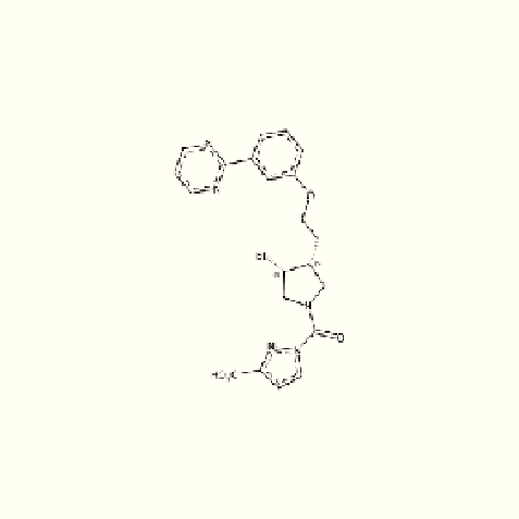 CC[C@H]1CN(C(=O)n2ccc(C(=O)O)n2)C[C@H]1CCOc1cccc(-c2ncccn2)c1